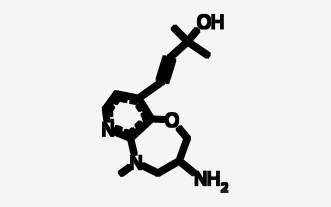 CN1CC(N)COc2c(C#CC(C)(C)O)ccnc21